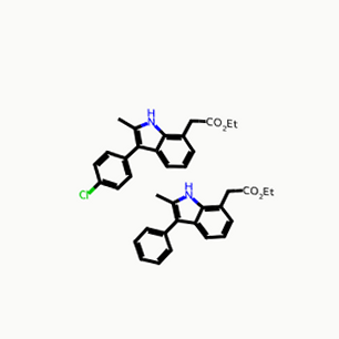 CCOC(=O)Cc1cccc2c(-c3ccc(Cl)cc3)c(C)[nH]c12.CCOC(=O)Cc1cccc2c(-c3ccccc3)c(C)[nH]c12